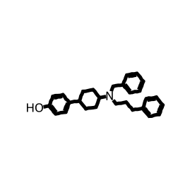 Oc1ccc(C2CCC(N(CCCc3ccccc3)Cc3ccccc3)CC2)cc1